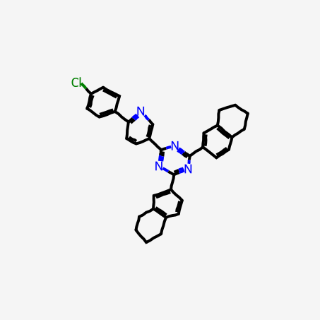 Clc1ccc(-c2ccc(-c3nc(-c4ccc5c(c4)CCCC5)nc(-c4ccc5c(c4)CCCC5)n3)cn2)cc1